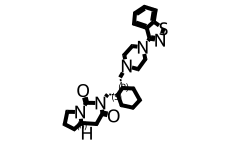 O=C1C[C@H]2CCCN2C(=O)N1C[C@H]1CCCC[C@H]1CN1CCN(c2nsc3ccccc23)CC1